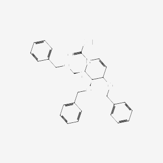 O=C(O)N1C=CC(OCc2ccccc2)[C@@H](OCc2ccccc2)[C@H]1COCc1ccccc1